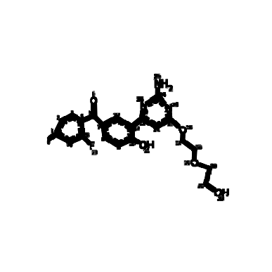 Cc1ccc(C(=O)c2ccc(O)c(-c3cc(OCCOCCO)nc(N)n3)c2)c(F)c1